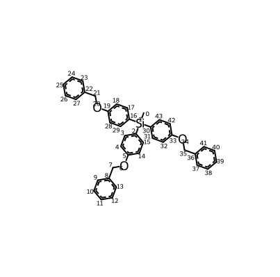 C[Si](c1ccc(OCc2ccccc2)cc1)(c1ccc(OCc2ccccc2)cc1)c1ccc(OCc2ccccc2)cc1